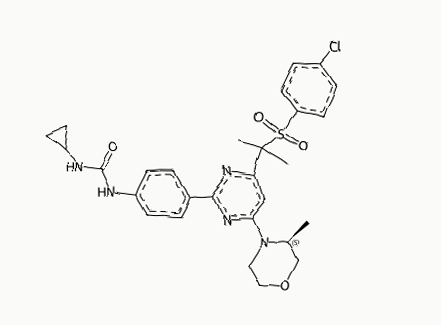 C[C@H]1COCCN1c1cc(C(C)(C)S(=O)(=O)c2ccc(Cl)cc2)nc(-c2ccc(NC(=O)NC3CC3)cc2)n1